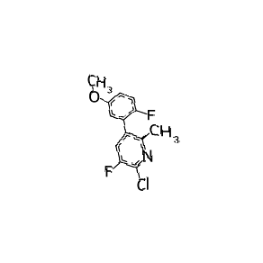 COc1ccc(F)c(-c2cc(F)c(Cl)nc2C)c1